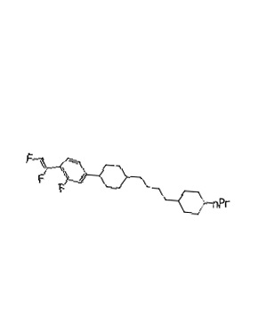 CCCC1CCC(CCCCC2CCC(c3ccc(C(F)=CF)c(F)c3)CC2)CC1